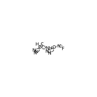 Cc1cc(Nc2ncnc3ccc(OCCN4CC[C@H](F)C4)cc23)ccc1Oc1ccn2ncnc2c1